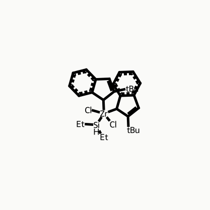 CC[SiH](CC)[Zr]([Cl])([Cl])([CH]1C(C(C)(C)C)=Cc2ccccc21)[CH]1C(C(C)(C)C)=Cc2ccccc21